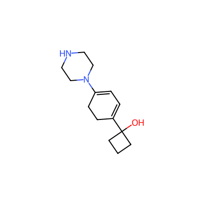 OC1(C2=CC=C(N3CCNCC3)CC2)CCC1